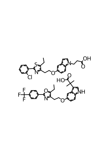 CCc1oc(-c2ccc(C(F)(F)F)cc2)nc1CCOc1ccc2[nH]cc(C(C)(C)C(=O)O)c2c1.CCc1sc(-c2ccccc2Cl)nc1CCOc1ccc2c(ccn2CCC(=O)O)c1